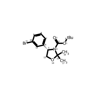 CC(C)(C)OC(=O)N1[C@@H](c2cccc(Br)c2)COC1(C)C